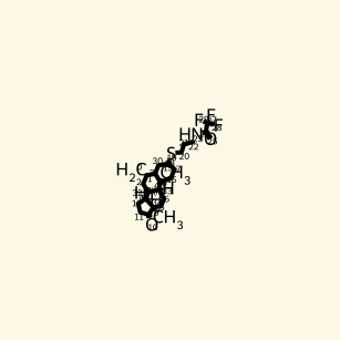 C=C1C[C@@H]2[C@@H](CC[C@]3(C)C(=O)CC[C@@H]23)[C@@]2(C)CCC(SCCCNC(=O)C(F)(F)F)CC12